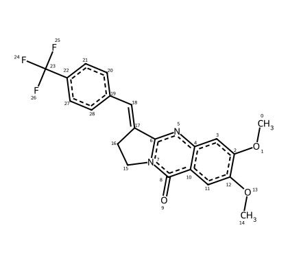 COc1cc2nc3n(c(=O)c2cc1OC)CC/C3=C\c1ccc(C(F)(F)F)cc1